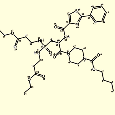 CCCCOC(=O)N1CCN(C(=O)[C@@H](CP(=O)(NCCC(=O)OCC)NCCC(=O)OCC)NC(=O)c2csc(-c3ccccc3)n2)CC1